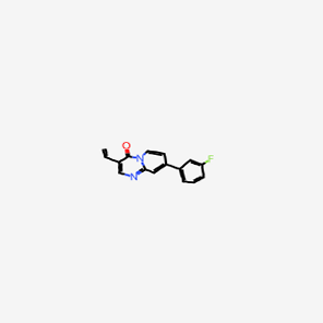 C=Cc1cnc2cc(-c3cccc(F)c3)ccn2c1=O